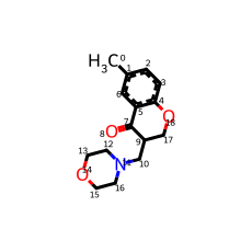 Cc1ccc2c(c1)C(=O)C(CN1CCOCC1)CO2